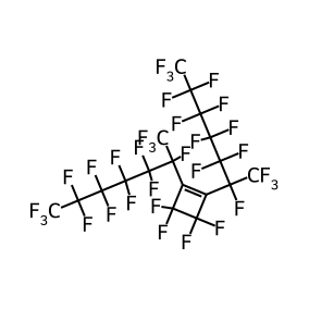 FC(F)(F)C(F)(F)C(F)(F)C(F)(F)C(F)(F)C(F)(C1=C(C(F)(C(F)(F)F)C(F)(F)C(F)(F)C(F)(F)C(F)(F)C(F)(F)F)C(F)(F)C1(F)F)C(F)(F)F